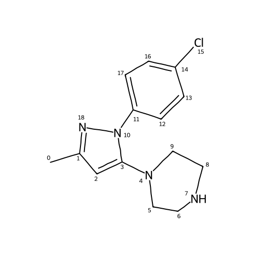 Cc1cc(N2CCNCC2)n(-c2ccc(Cl)cc2)n1